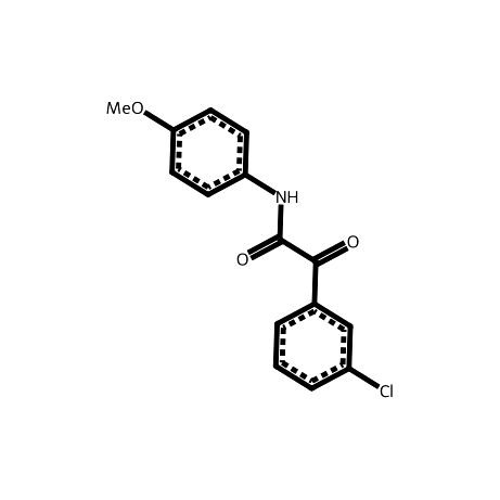 COc1ccc(NC(=O)C(=O)c2cccc(Cl)c2)cc1